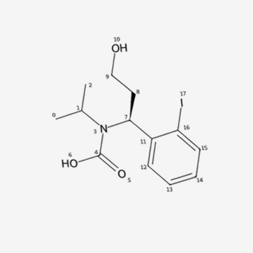 CC(C)N(C(=O)O)[C@@H](CCO)c1ccccc1I